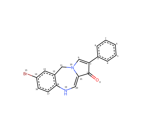 O=C1C(c2ccccc2)=CN2Cc3cc(Br)ccc3NC=C12